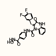 O=C(NO)c1ccc(NC(=O)N2c3ccccc3NC(=O)[C@H]2Cc2ccc(F)c(F)c2)cc1